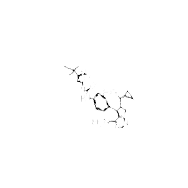 CC(C)(C)c1cc(NC(=O)Nc2ccc(C3=C4C(N)=NC=NN4CC3C(O)C3CC3)cc2)on1